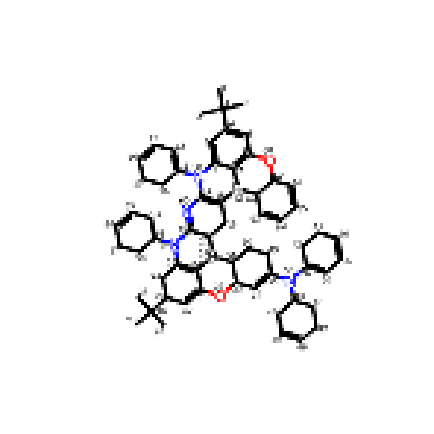 CC(C)(C)c1cc2c3c(c1)N(C1=CC=CCC1)C1=C(CC4B5C6=C(CC(C(C)(C)C)C=C6OC6C=C(N(C7=CC=CCC7)C7CC=CCC7)CCC56)N(C5CC=CCC5)C4=N1)B3C1C=CC=CC1O2